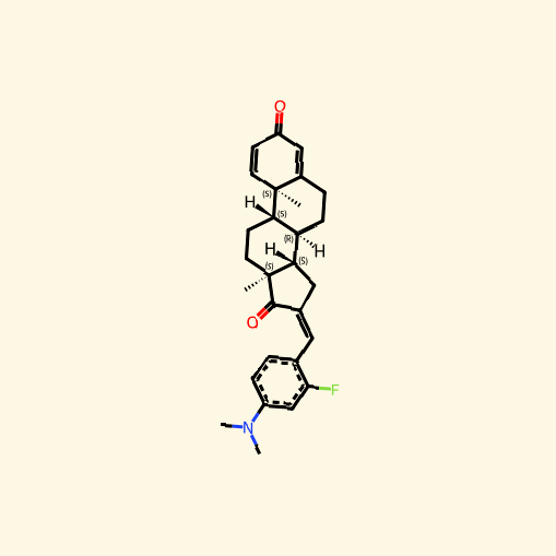 CN(C)c1ccc(C=C2C[C@H]3[C@@H]4CCC5=CC(=O)C=C[C@]5(C)[C@H]4CC[C@]3(C)C2=O)c(F)c1